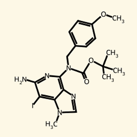 COc1ccc(CN(C(=O)OC(C)(C)C)c2nc(N)c(I)c3c2ncn3C)cc1